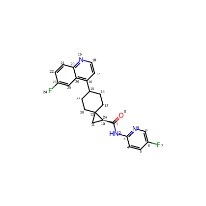 O=C(Nc1ccc(F)cn1)[C@H]1CC12CCC(c1ccnc3ccc(F)cc13)CC2